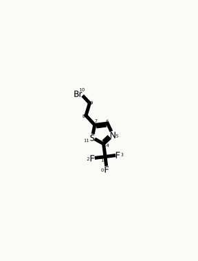 FC(F)(F)c1ncc(CCBr)s1